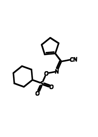 N#CC(=NOS(=O)(=O)C1CCCCC1)C1=CCCC1